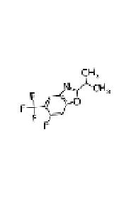 CC(C)c1nc2cc(C(F)(F)F)c(F)cc2o1